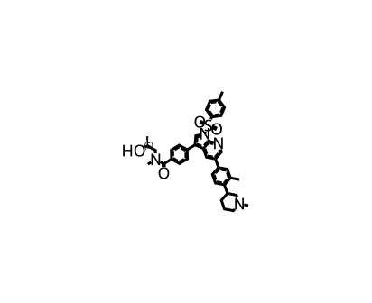 Cc1ccc(S(=O)(=O)n2cc(-c3ccc(C(=O)N(C)C[C@H](C)O)cc3)c3cc(-c4ccc(C5CCCN(C)C5)c(C)c4)cnc32)cc1